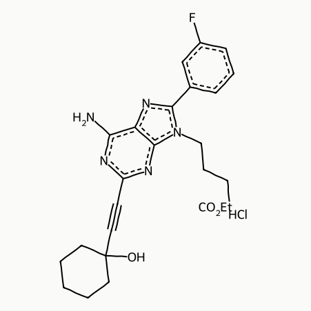 CCOC(=O)CCCn1c(-c2cccc(F)c2)nc2c(N)nc(C#CC3(O)CCCCC3)nc21.Cl